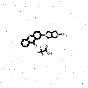 CN1CC2CN(c3ccc4oc5ccccc5c(=O)c4c3)CC2C1.O=C(O)C(F)(F)F